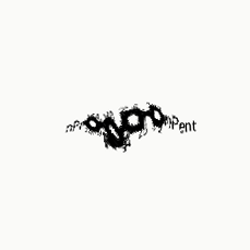 CCCCCC1C=CC(C2CCC(c3ccc(C4CCC(CCC)CC4)c(F)c3F)CC2)CC1